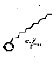 CCCCCCCCCCCCc1ccccc1.O=S(=O)(O)O